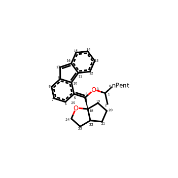 CCCCCC(C)OC(=c1cccc2c1=c1ccccc1=C2)[C@@]12CCCC1CCO2